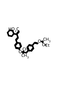 CCOC(C)OC=Cc1ccc(CC(C)(C)Oc2ccc(C=CC(=CC(=O)O)C3CCCCC3)cc2)cc1